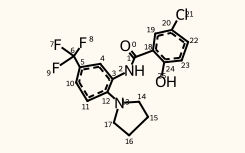 O=C(Nc1cc(C(F)(F)F)ccc1N1CCCC1)c1cc(Cl)ccc1O